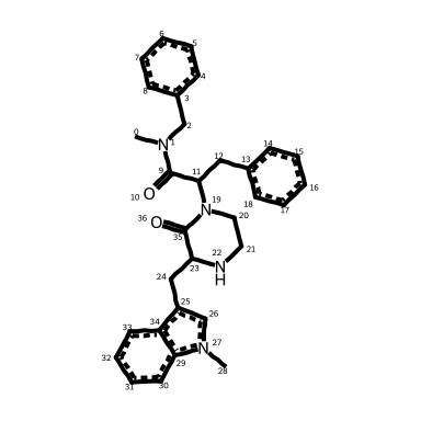 CN(Cc1ccccc1)C(=O)C(Cc1ccccc1)N1CCNC(Cc2cn(C)c3ccccc23)C1=O